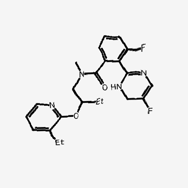 CCc1cccnc1OC(CC)CN(C)C(=O)c1cccc(F)c1C1=NC=C(F)CN1